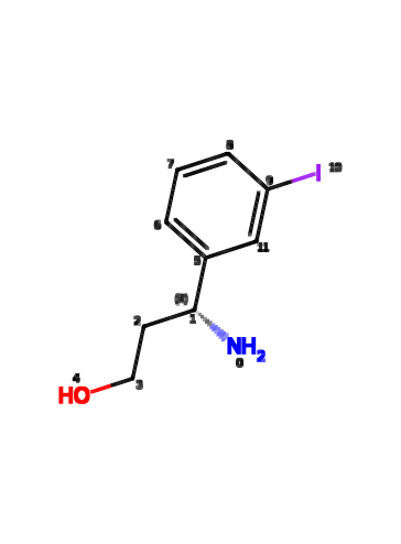 N[C@H](CCO)c1cccc(I)c1